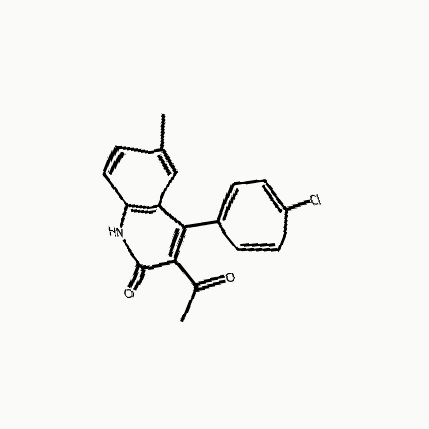 CC(=O)c1c(-c2ccc(Cl)cc2)c2cc(C)ccc2[nH]c1=O